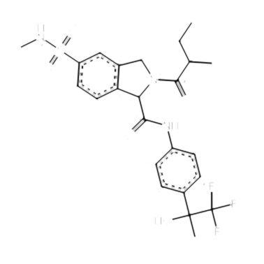 CCC(C)C(=O)N1Cc2cc(S(=O)(=O)NC)ccc2C1C(=O)Nc1ccc(C(C)(O)C(F)(F)F)cc1